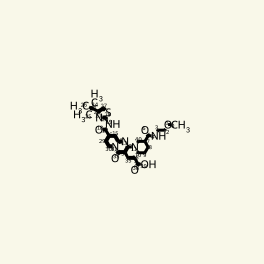 COCCNC(=O)C1CCCN(c2nc3cc(C(=O)Nc4nc(C(C)(C)C)cs4)ccn3c(=O)c2/C=C/C(=O)O)C1